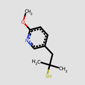 COc1ccc(CC(C)(C)S)cn1